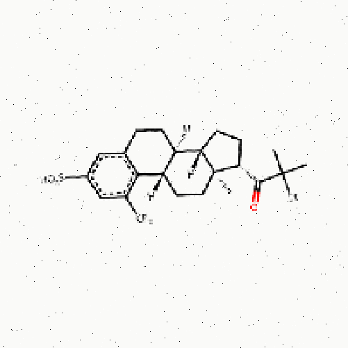 CCC(C)(C)C(=O)[C@H]1CC[C@H]2[C@@H]3CCc4cc(S(=O)(=O)O)cc(C(F)(F)F)c4[C@H]3CC[C@]12C